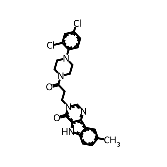 Cc1ccc2[nH]c3c(=O)n(CCC(=O)N4CCN(c5ccc(Cl)cc5Cl)CC4)cnc3c2c1